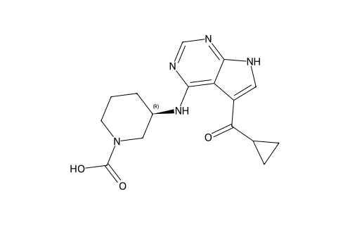 O=C(c1c[nH]c2ncnc(N[C@@H]3CCCN(C(=O)O)C3)c12)C1CC1